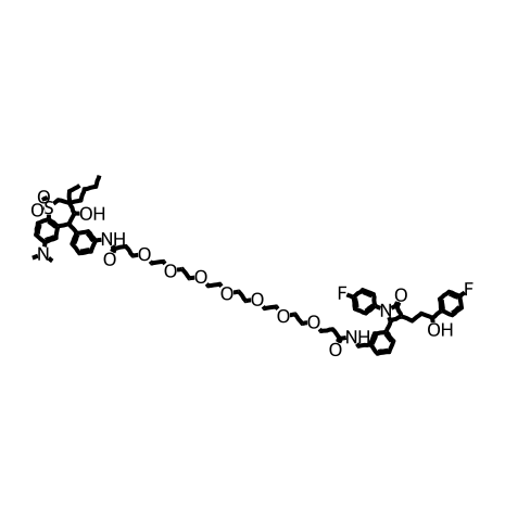 CCCCC1(CC)CS(=O)(=O)c2ccc(N(C)C)cc2C(c2cccc(NC(=O)CCOCCOCCOCCOCCOCCOCCOCCC(=O)NCc3cccc(C4C(CCC(O)c5ccc(F)cc5)C(=O)N4c4ccc(F)cc4)c3)c2)C1O